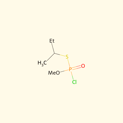 CCC(C)SP(=O)(Cl)OC